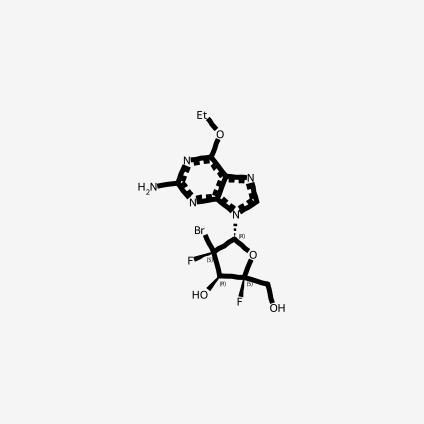 CCOc1nc(N)nc2c1ncn2[C@@H]1O[C@](F)(CO)[C@@H](O)[C@]1(F)Br